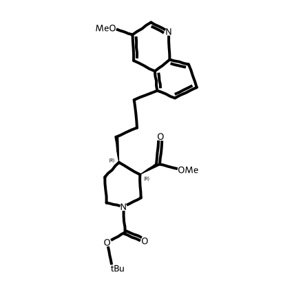 COC(=O)[C@H]1CN(C(=O)OC(C)(C)C)CC[C@H]1CCCc1cccc2ncc(OC)cc12